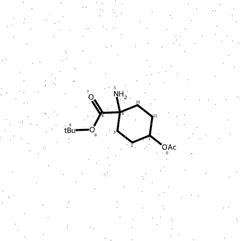 CC(=O)OC1CCC(N)(C(=O)OC(C)(C)C)CC1